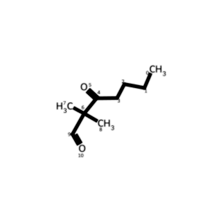 CCCCC(=O)C(C)(C)[C]=O